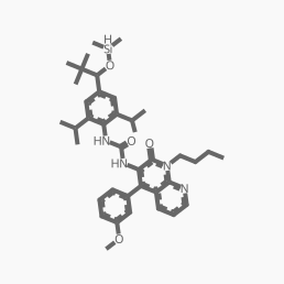 CCCCn1c(=O)c(NC(=O)Nc2c(C(C)C)cc(C(O[SiH](C)C)C(C)(C)C)cc2C(C)C)c(-c2cccc(OC)c2)c2cccnc21